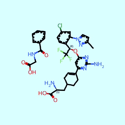 Cc1ccn(-c2cc(Cl)ccc2[C@@H](Oc2cc(C3=CCC(C[C@H](N)C(=O)O)CC3)nc(N)n2)C(F)(F)F)n1.O=C(O)CNC(=O)c1ccccc1